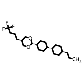 CCC[C@H]1CC[C@H](C2CCC([C@H]3OC[C@H](CCCC(F)(F)F)CO3)CC2)CC1